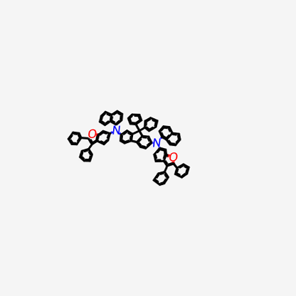 c1ccc(-c2oc3cc(N(c4ccc5c(c4)C(c4ccccc4)(c4ccccc4)c4cc(N(c6ccc7c(-c8ccccc8)c(-c8ccccc8)oc7c6)c6cccc7ccccc67)ccc4-5)c4cccc5ccccc45)ccc3c2-c2ccccc2)cc1